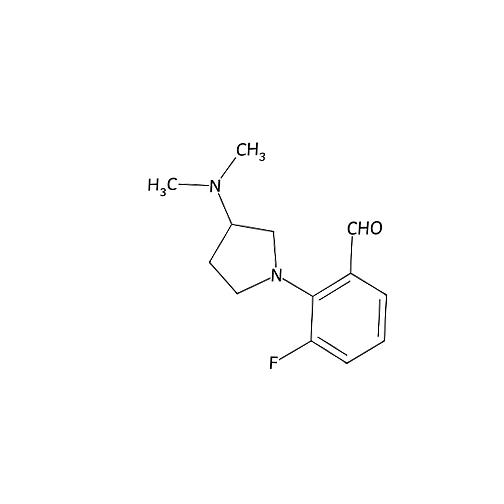 CN(C)C1CCN(c2c(F)cccc2C=O)C1